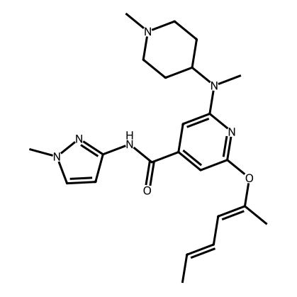 CC=CC=C(C)Oc1cc(C(=O)Nc2ccn(C)n2)cc(N(C)C2CCN(C)CC2)n1